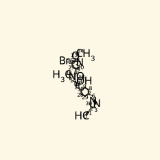 C#Cc1cnn(Cc2ccc(C[C@H](O)CN(C)C(=O)c3cnc(OC)c(Br)c3)cc2)c1